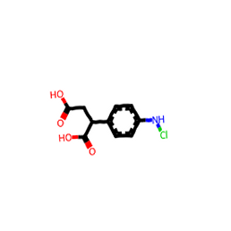 O=C(O)CC(C(=O)O)c1ccc(NCl)cc1